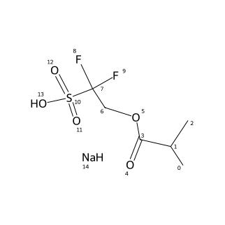 CC(C)C(=O)OCC(F)(F)S(=O)(=O)O.[NaH]